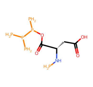 O=C(O)C[C@H](NP)C(=O)OP(P)P(P)P